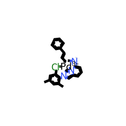 Cc1cc(C)c(-n2cc3cccc(N(C)C)n3[c]2=[Pd-3]([Cl])[CH2]C=Cc2ccccc2)c(C)c1